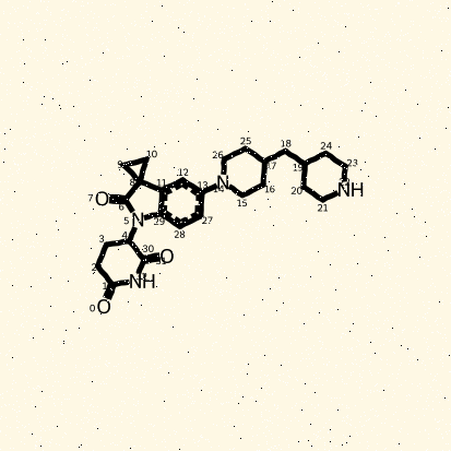 O=C1CCC(N2C(=O)C3(CC3)c3cc(N4CCC(CC5CCNCC5)CC4)ccc32)C(=O)N1